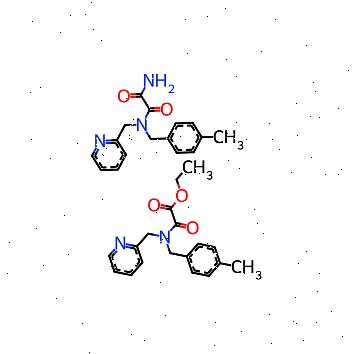 CCOC(=O)C(=O)N(Cc1ccc(C)cc1)Cc1ccccn1.Cc1ccc(CN(Cc2ccccn2)C(=O)C(N)=O)cc1